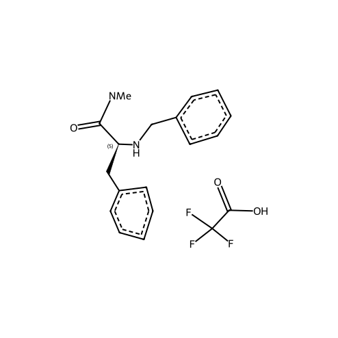 CNC(=O)[C@H](Cc1ccccc1)NCc1ccccc1.O=C(O)C(F)(F)F